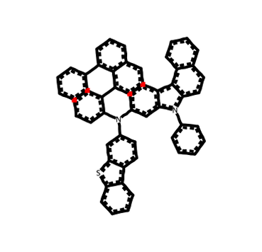 c1ccc(-c2cccc3cccc(-c4ccccc4N(c4ccc5c(c4)sc4ccccc45)c4ccc5c6c7ccccc7ccc6n(-c6ccccc6)c5c4)c23)cc1